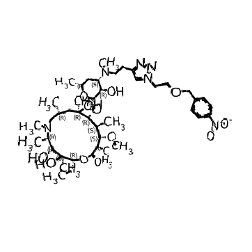 CC[C@H]1OC(=O)[C@H](C)[C@@H](OC)[C@H](C)[C@@H](O[C@@H]2O[C@H](C)C[C@H](N(C)CCc3cn(CCOCc4ccc([N+](=O)[O-])cc4)nn3)[C@H]2O)[C@](C)(O)C[C@@H](C)CN(C)[C@H](C)[C@@H](O)[C@]1(C)O